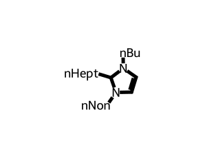 CCCCCCCCCN1C=CN(CCCC)C1CCCCCCC